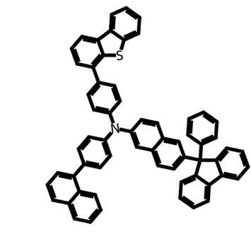 c1ccc(C2(c3ccc4cc(N(c5ccc(-c6cccc7ccccc67)cc5)c5ccc(-c6cccc7c6sc6ccccc67)cc5)ccc4c3)c3ccccc3-c3ccccc32)cc1